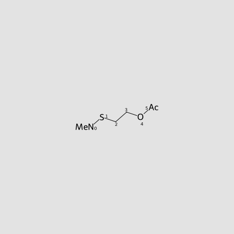 CNSCCOC(C)=O